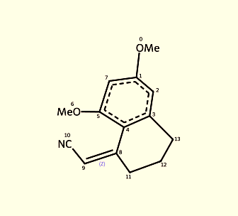 COc1cc2c(c(OC)c1)/C(=C\C#N)CCC2